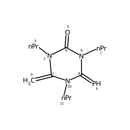 C=C1N(CCC)C(=O)N(CCC)C(=P)N1CCC